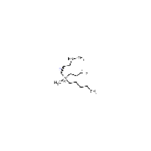 CCCCC[N@+](C)(/C=C\CNC)CCC